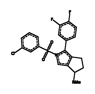 CNC1CCc2c1cn(S(=O)(=O)c1cccc(Cl)c1)c2-c1ccc(F)c(F)c1